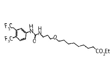 CCOC(=O)CCCCCCCCOCCCNC(=O)Nc1ccc(C(F)(F)F)c(C(F)(F)F)c1